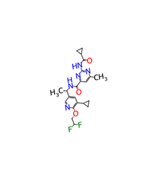 Cc1cc(C(=O)NC(C)c2cnc(OCC(F)F)c(C3CC3)c2)nc(NC(=O)C2CC2)n1